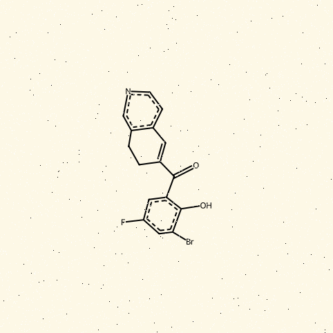 O=C(C1=Cc2ccncc2CC1)c1cc(F)cc(Br)c1O